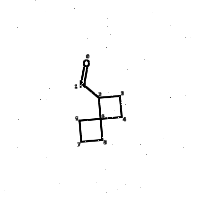 O=NC1CCC12CCC2